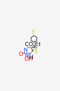 CCOC(=O)[C@@H]1c2c(-c3ccc(F)cc3)csc2[C@@H]2CN1C(=O)N2O